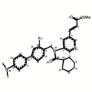 COC(=O)/C=C/c1cncc(N(Cc2ccc(-c3ccc(N(C)C)cc3)cc2F)C(=O)C2CCCCC2)c1